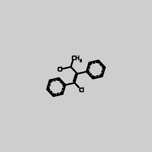 CC(Cl)/C(=C(/Cl)c1ccccc1)c1ccccc1